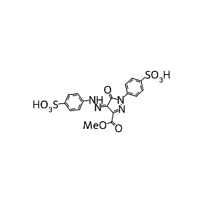 COC(=O)C1=NN(c2ccc(S(=O)(=O)O)cc2)C(=O)C1=NNc1ccc(S(=O)(=O)O)cc1